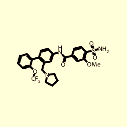 COc1cc(C(=O)Nc2ccc(-c3ccccc3OC(F)(F)F)c(CN3CCCC3)c2)ccc1S(N)(=O)=O